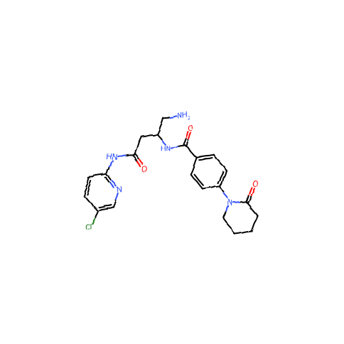 NCC(CC(=O)Nc1ccc(Cl)cn1)NC(=O)c1ccc(N2CCCCC2=O)cc1